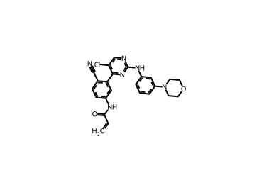 C=CC(=O)Nc1ccc(C#N)c(-c2nc(Nc3cccc(N4CCOCC4)c3)ncc2Cl)c1